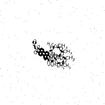 COCCOCC(C)OCC(C)OCC(C)OCC(C)OCC(C)OCC(C)OCC(C)OCC(C)OCC(C)N1C(=O)c2ccc3c4ccc5c6c(ccc(c7ccc(c2c37)C1=O)c64)C(=O)N(CCCN1CCOCC1)C5=O